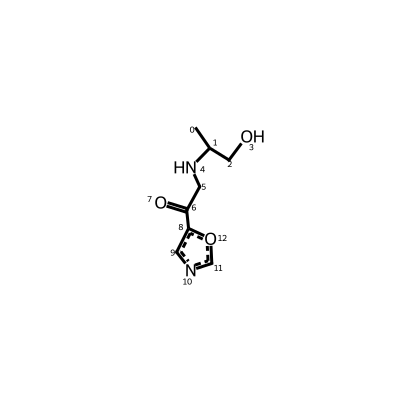 CC(CO)NCC(=O)c1cnco1